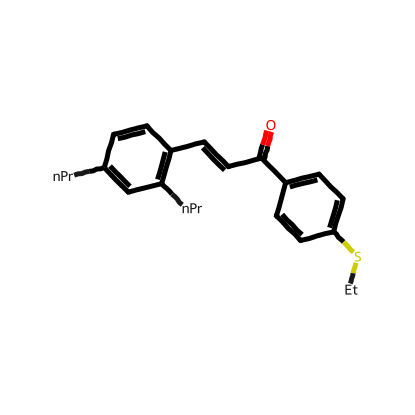 CCCc1ccc(C=CC(=O)c2ccc(SCC)cc2)c(CCC)c1